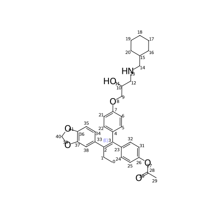 CC/C(=C(/c1ccc(OCC(O)CNCC2CCCCC2)cc1)c1ccc(OC(C)=O)cc1)c1ccc2c(c1)OCO2